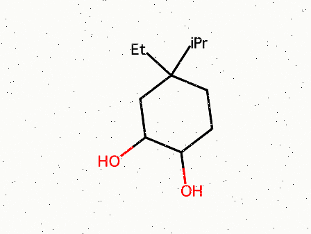 CCC1(C(C)C)CCC(O)C(O)C1